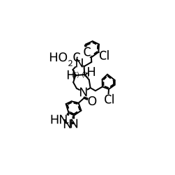 O=C(c1ccc2[nH]nnc2c1)N1CC[C@@H]2CN(C(=O)O)C(Cc3ccccc3Cl)[C@@H]2CC1Cc1ccccc1Cl